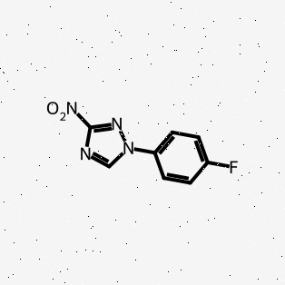 O=[N+]([O-])c1ncn(-c2ccc(F)cc2)n1